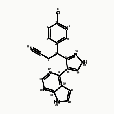 N#CCC(c1ccc(Cl)nc1)c1n[nH]cc1-c1ncnc2[nH]ccc12